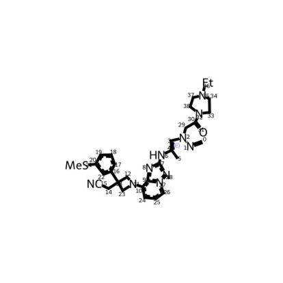 C=NN(/C=C(\C)Nc1nc2c(N3CC(CC#N)(c4cccc(SC)c4)C3)cccn2n1)CC(=O)N1CCN(CC)CC1